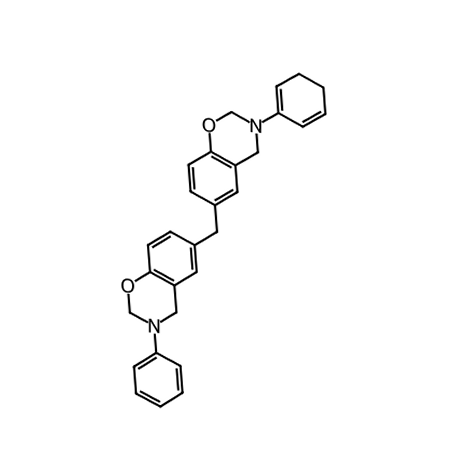 C1=CC(N2COc3ccc(Cc4ccc5c(c4)CN(c4ccccc4)CO5)cc3C2)=CCC1